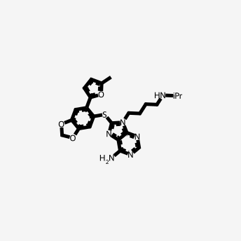 Cc1ccc(-c2cc3c(cc2Sc2nc4c(N)ncnc4n2CCCCNC(C)C)OCO3)o1